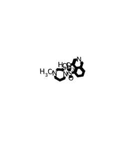 Cc1cncc2c1=C(S(=O)(=O)N1CCCN(C)CC1C)CCC=2